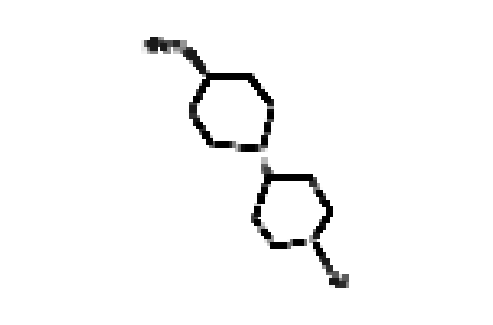 CCCCC[C@H]1CC[C@H](C2CCC(C(C)=O)CC2)CC1